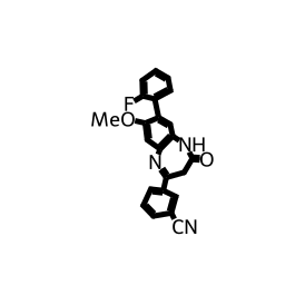 COc1cc2c(cc1-c1ccccc1F)NC(=O)CC(c1cccc(C#N)c1)=N2